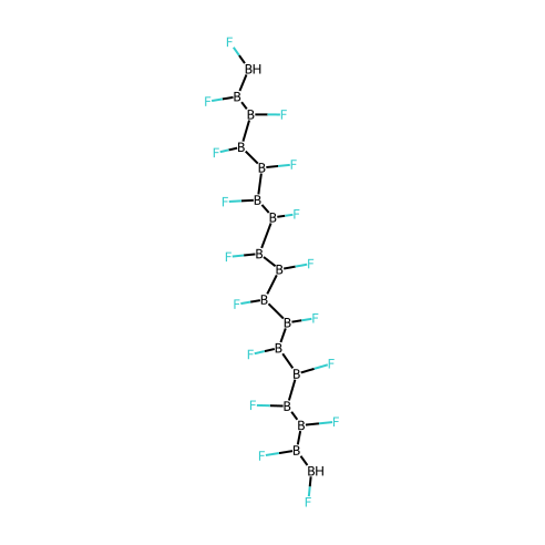 FBB(F)B(F)B(F)B(F)B(F)B(F)B(F)B(F)B(F)B(F)B(F)B(F)B(F)B(F)B(F)BF